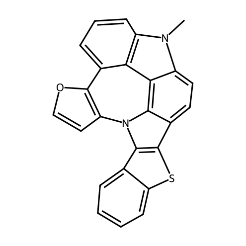 Cn1c2cccc3c4occc4n4c5c6ccccc6sc5c5ccc1c(c32)c54